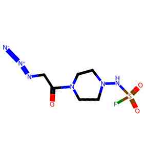 [N-]=[N+]=NCC(=O)N1CCN(NS(=O)(=O)F)CC1